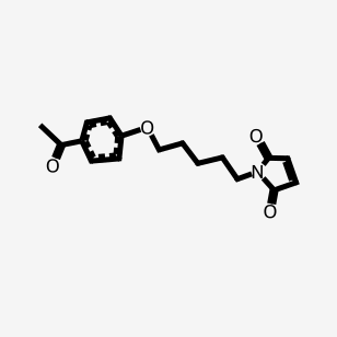 CC(=O)c1ccc(OCCCCCN2C(=O)C=CC2=O)cc1